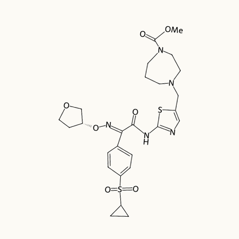 COC(=O)N1CCCN(Cc2cnc(NC(=O)/C(=N/O[C@@H]3CCOC3)c3ccc(S(=O)(=O)C4CC4)cc3)s2)CC1